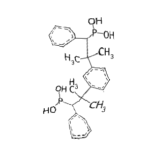 CC(C)(c1[c]ccc(C(C)(C)C(c2ccccc2)P(O)O)c1)C(c1ccccc1)P(O)O